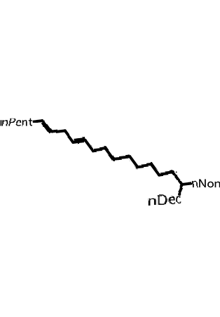 CCCCCC=CCC=CCCCCCCC[CH]C(CCCCCCCCC)CCCCCCCCCC